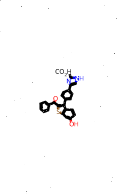 O=C(O)c1nc(-c2ccc(-c3c(C(=O)c4ccccc4)sc4cc(O)ccc34)cc2)c[nH]1